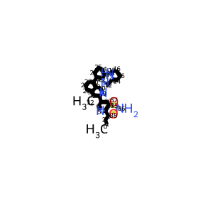 CCCCc1ncc(-c2nc(NCc3ccccn3)c3c(-c4ccccc4)cccc3c2C)cc1S(N)(=O)=O